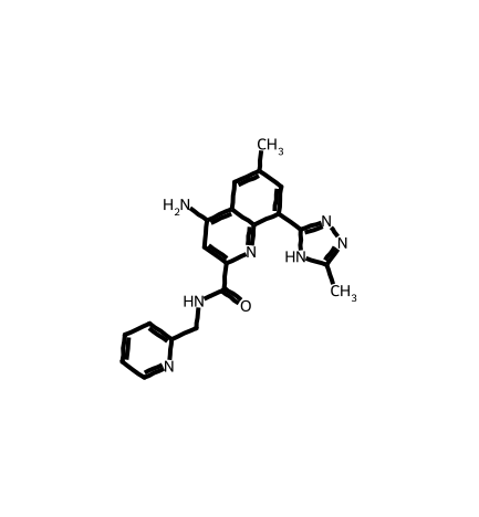 Cc1cc(-c2nnc(C)[nH]2)c2nc(C(=O)NCc3ccccn3)cc(N)c2c1